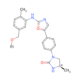 CCOCc1ccc(C)c(Nc2ncc(-c3ccc(N4C[C@@H](C)NC4=O)cc3)o2)c1